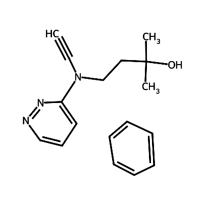 C#CN(CCC(C)(C)O)c1cccnn1.c1ccccc1